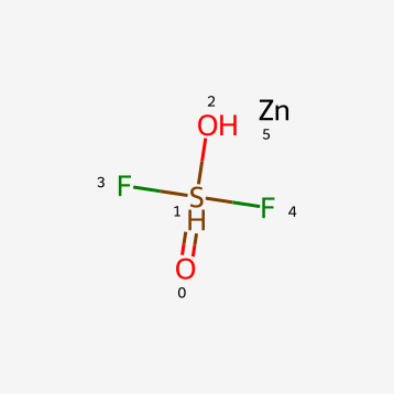 O=[SH](O)(F)F.[Zn]